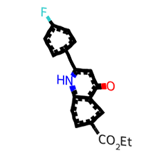 CCOC(=O)c1ccc2[nH]c(-c3ccc(F)cc3)cc(=O)c2c1